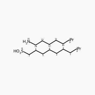 CC(C)CCCCCCCS(=O)(=O)O.CC(C)CCCCCN